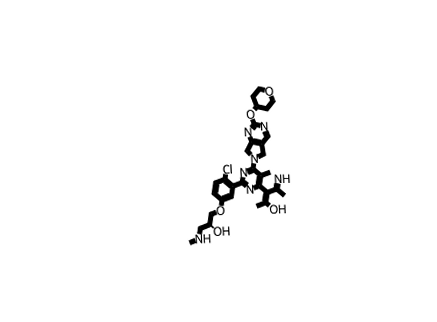 CNC[C@@H](O)COc1ccc(Cl)c(-c2nc(/C(C(C)=N)=C(\C)O)c(C)c(N3Cc4cnc(OC5CCOCC5)nc4C3)n2)c1